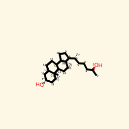 CC(O)CCC[C@@H](C)C1CCC2C3CCC4C[C@@H](O)CCC4(C)C3CC[C@@]21C